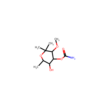 COC1C(OC(N)=O)C(O)C(C)OC1(C)C